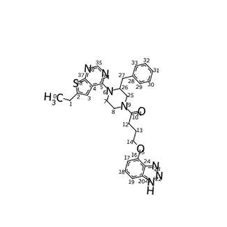 CCc1cc2c(N3CCN(C(=O)CCCOc4cccc5[nH]nnc45)CC3Cc3ccccc3)ncnc2s1